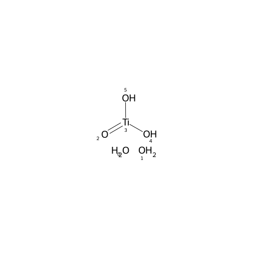 O.O.[O]=[Ti]([OH])[OH]